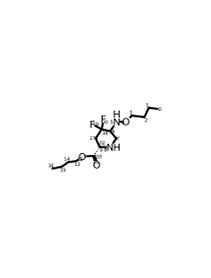 CCCCONC1CN[C@H](C(=O)OCCCC)CC1(F)F